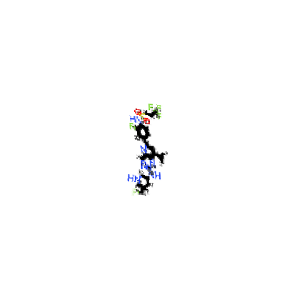 CC(C)c1cc(-c2ccc(NS(=O)(=O)CCC(F)(F)F)c(F)c2)nc2cnc(N[C@@H]3CNC[C@@](C)(CF)C3)nc12